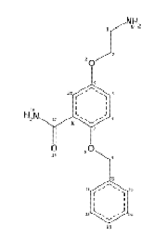 NCCOc1ccc(OCc2ccccc2)c(C(N)=O)c1